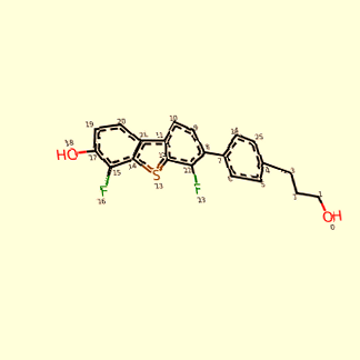 OCCCc1ccc(-c2ccc3c(sc4c(F)c(O)ccc43)c2F)cc1